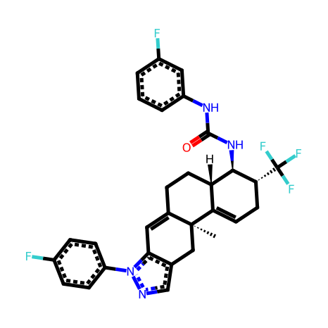 C[C@]12Cc3cnn(-c4ccc(F)cc4)c3C=C1CC[C@H]1C2=CC[C@@H](C(F)(F)F)[C@@H]1NC(=O)Nc1cccc(F)c1